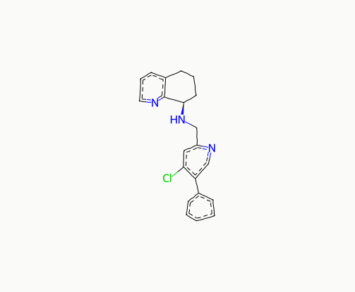 Clc1cc(CN[C@@H]2CCCc3cccnc32)ncc1-c1ccccc1